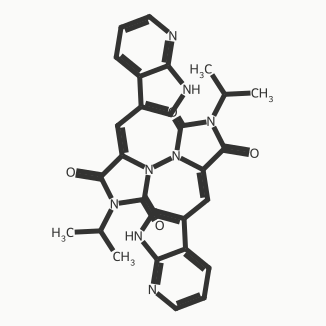 CC(C)N1C(=O)/C(=C/c2c[nH]c3ncccc23)N(N2C(=O)N(C(C)C)C(=O)/C2=C/c2c[nH]c3ncccc23)C1=O